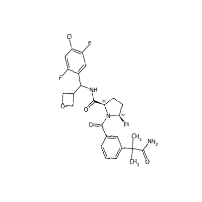 CC[C@@H]1CC[C@H](C(=O)NC(c2cc(F)c(Cl)cc2F)C2COC2)N1C(=O)c1cccc(C(C)(C)C(N)=O)c1